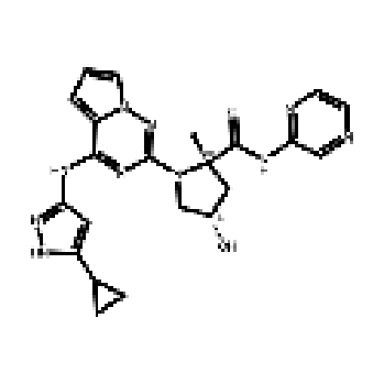 C[C@@]1(C(=O)Nc2cnccn2)C[C@H](O)CN1c1nc(Nc2cc(C3CC3)[nH]n2)c2cccn2n1